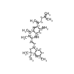 C/N=C(\N=C\N1CC(C)(C)c2nc(C)ccc21)Nc1cc(N)c(N(C)CCN(C)C)nc1OC